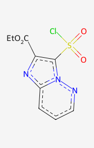 CCOC(=O)c1nc2cccnn2c1S(=O)(=O)Cl